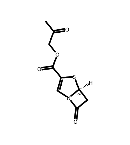 CC(=O)COC(=O)C1=CN2C(=O)C[C@@H]2S1